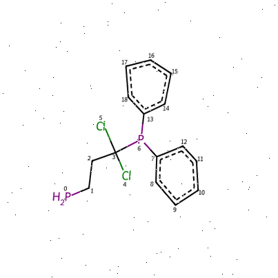 PCCC(Cl)(Cl)P(c1ccccc1)c1ccccc1